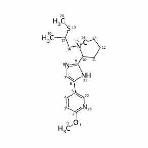 COc1ccc(-c2cnc(C3CCCCN3CC(C)SC)[nH]2)cn1